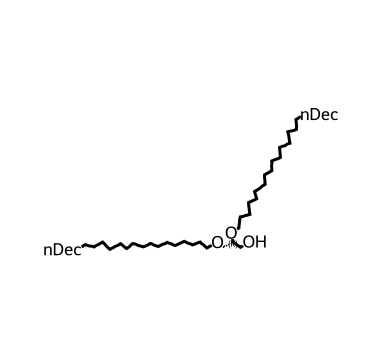 CCCCCCCCCCCCCCCCCCCCCCCCCCOC[C@@H](CO)OCCCCCCCCCCCCCCCCCCCCCCCCCC